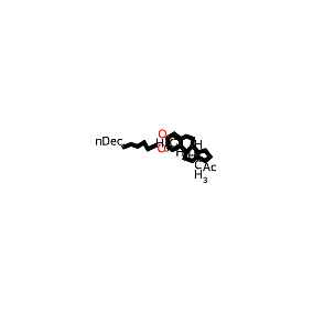 CCCCCCCCCCCCCCCCOC1C[C@@]2(C)C(=CC1=O)CC[C@H]1[C@@H]3CC[C@H](C(C)=O)[C@@]3(C)CC[C@@H]12